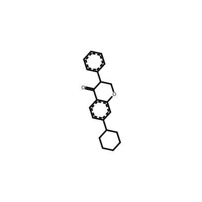 O=C1c2ccc(C3CCCCC3)cc2OCC1c1ccccc1